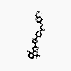 COc1ncc(OCC(=O)N2CCC(c3nc(C4=NOC(c5c(Cl)cccc5C(F)(F)F)C4)cs3)CC2)cn1